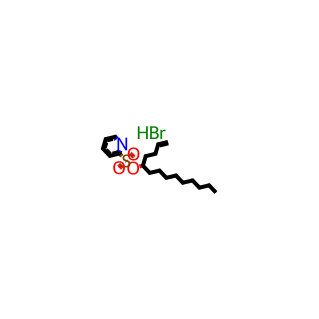 Br.C=CCCC(CCCCCCCCC)OS(=O)(=O)c1ccccn1